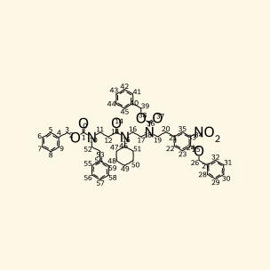 O=C(OCc1ccccc1)N(CCC(=O)N(CCN(CCc1ccc(OCc2ccccc2)c([N+](=O)[O-])c1)C(=O)OCc1ccccc1)C1CCCCC1)CCc1ccccc1